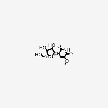 COc1cn([C@@H]2O[C@H](CO)C(O)C2O)c(=O)[nH]c1=O